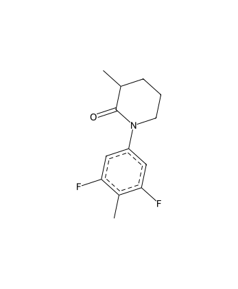 Cc1c(F)cc(N2CCCC(C)C2=O)cc1F